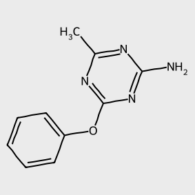 Cc1nc(N)nc(Oc2ccccc2)n1